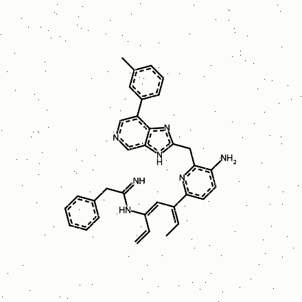 C=C/C(=C\C(=C/C)c1ccc(N)c(Cc2nc3c(-c4cccc(C)c4)cncc3[nH]2)n1)NC(=N)Cc1ccccc1